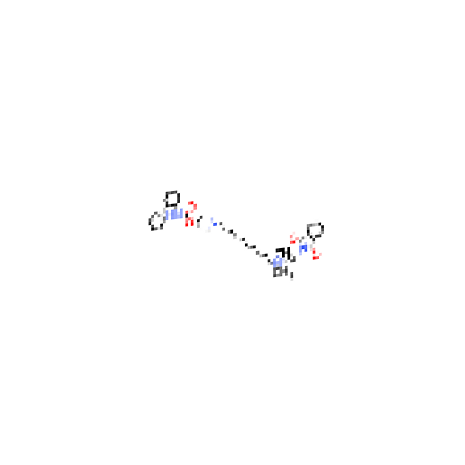 C[N+](C)(CCCCCCCCCCN1CCC(OC(=O)Nc2ccccc2-c2ccccc2)CC1)CCCN1C(=O)c2ccccc2C1=O